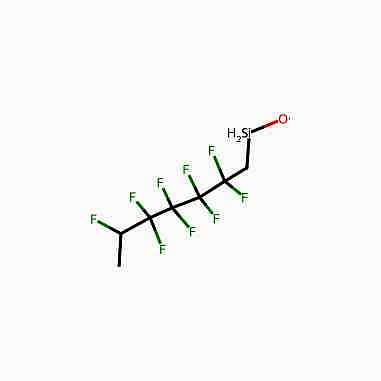 CC(F)C(F)(F)C(F)(F)C(F)(F)C(F)(F)C[SiH2][O]